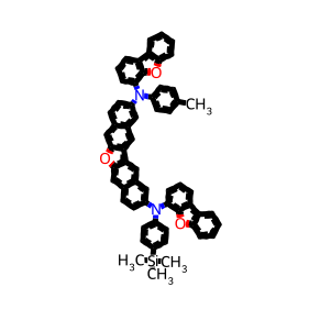 Cc1ccc(N(c2ccc3cc4oc5cc6ccc(N(c7ccc([Si](C)(C)C)cc7)c7cccc8c7oc7ccccc78)cc6cc5c4cc3c2)c2cccc3c2oc2ccccc23)cc1